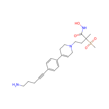 CC(CCN1CC=C(c2ccc(C#CCCCN)cc2)CC1)(C(=O)NO)S(C)(=O)=O